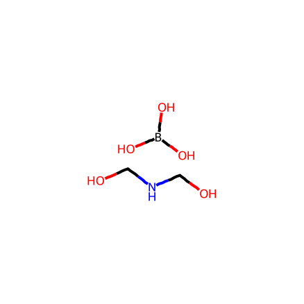 OB(O)O.OCNCO